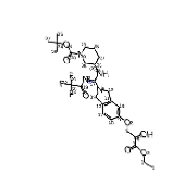 CCOC(=O)[C@H](O)COc1ccc2c(c1)CN(/C(=N\C(=O)C(F)(F)F)N[C@@H]1CCCN(C(=O)OC(C)(C)C)C1)C2